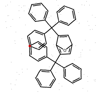 c1ccc(C(c2ccccc2)(c2ccccc2)c2cc3cc(C(c4ccccc4)(c4ccccc4)c4ccccc4)c2o3)cc1